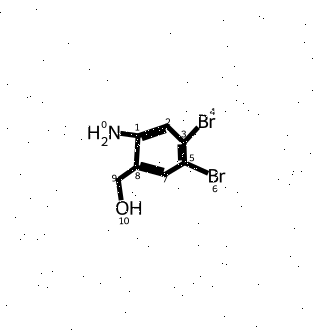 Nc1cc(Br)c(Br)cc1CO